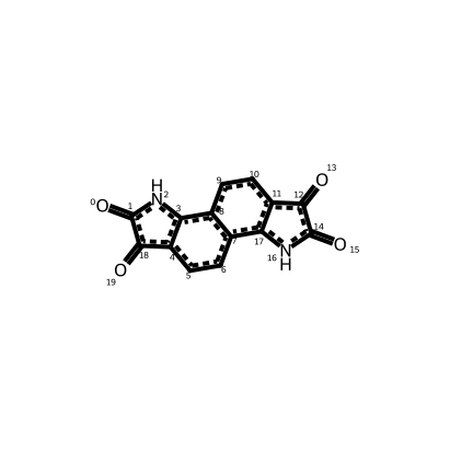 O=c1[nH]c2c(ccc3c2ccc2c(=O)c(=O)[nH]c23)c1=O